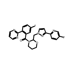 O=C(c1cc(F)ccc1-c1ncccn1)N1CCCOC1Cn1ccc(-c2ccc(F)cn2)n1